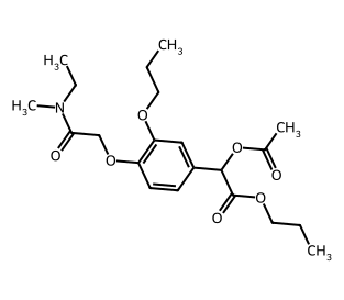 CCCOC(=O)C(OC(C)=O)c1ccc(OCC(=O)N(C)CC)c(OCCC)c1